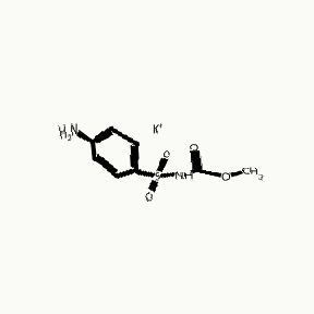 COC(=O)NS(=O)(=O)c1ccc(N)cc1.[K+]